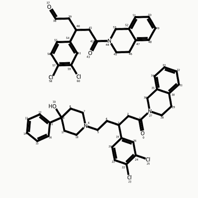 O=C(CC(CCN1CCC(O)(c2ccccc2)CC1)c1ccc(Cl)c(Cl)c1)N1CCc2ccccc2C1.O=CCC(CC(=O)N1CCc2ccccc2C1)c1ccc(Cl)c(Cl)c1